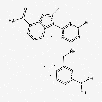 CCc1nc(NCc2cccc(B(O)O)c2)nc(-c2c(C)cc3c(C(N)=O)cccn23)n1